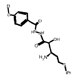 CCOc1ccc(C(=O)NNC(=O)C(O)[C@H](N)CCSC(C)C)cc1